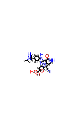 CC(C)NC(C)(C)c1ccc(Nc2nn(C3(CC#N)CCC(C(=O)O)OC3)c3cc[nH]c(=O)c23)cc1